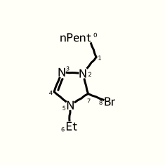 CCCCCCN1N=CN(CC)C1Br